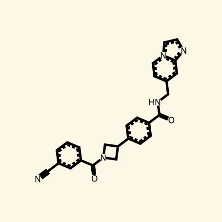 N#Cc1cccc(C(=O)N2CC(c3ccc(C(=O)NCc4ccn5ccnc5c4)cc3)C2)c1